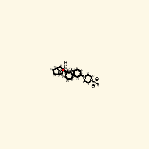 CS(=O)(=O)N1CCN(c2ccc(OCC3(O)CC4CCC(C3)N4Cc3ccccc3)cc2)CC1